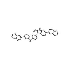 C1=C(c2ccc3ccccc3c2)CCc2c1sc1ccc3c(ccc4sc5cc(-c6ccc7ccccc7c6)ccc5c43)c21